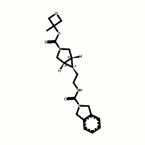 CC1(OC(=O)N2C[C@@H]3[C@@H](CCNC(=O)N4Cc5ccccc5C4)[C@@H]3C2)COC1